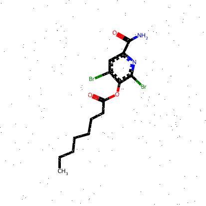 CCCCCCCC(=O)Oc1c(Br)cc(C(N)=O)nc1Br